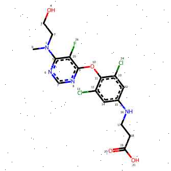 CN(CCO)c1ncnc(Oc2c(Cl)cc(NCCC(=O)O)cc2Cl)c1F